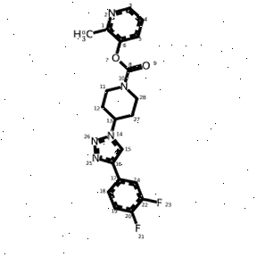 Cc1ncccc1OC(=O)N1CCC(n2cc(-c3ccc(F)c(F)c3)nn2)CC1